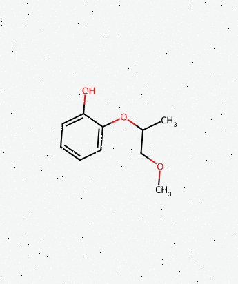 COCC(C)Oc1ccccc1O